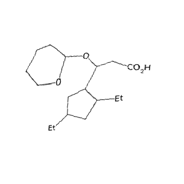 CCC1CC(CC)C(C(CC(=O)O)OC2CCCCO2)C1